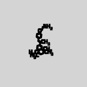 CC(=Cc1ccc(OCCN)cc1)c1ccc2c(c1)C(C)(C)CCC2(C)C